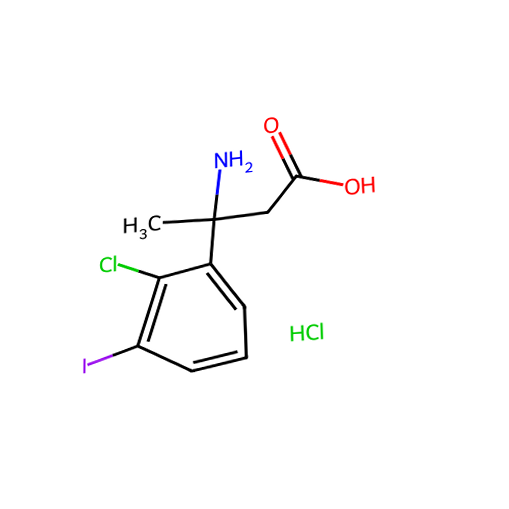 CC(N)(CC(=O)O)c1cccc(I)c1Cl.Cl